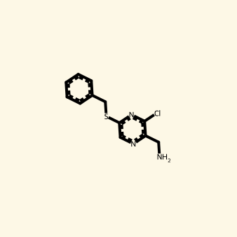 NCc1ncc(SCc2ccccc2)nc1Cl